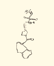 C=CS(=O)(=O)NC[C@H]1CCN(C(=O)c2cccc3ccccc23)C1